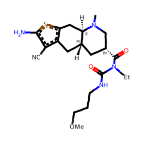 CCN(C(=O)NCCCOC)C(=O)[C@@H]1C[C@@H]2Cc3c(sc(N)c3C#N)C[C@H]2N(C)C1